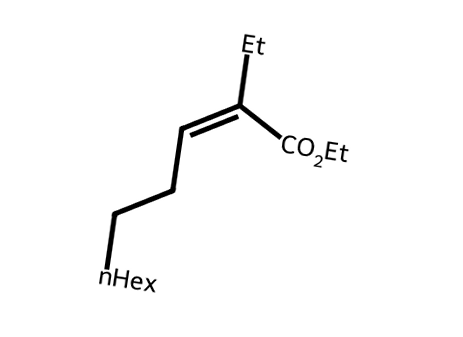 CCCCCCCCC=C(CC)C(=O)OCC